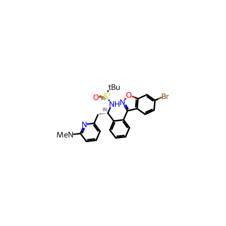 CNc1cccc(C[C@H](N[S@@+]([O-])C(C)(C)C)c2ccccc2-c2noc3cc(Br)ccc23)n1